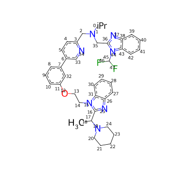 CC(C)N(Cc1ccc(-c2cccc(OCCn3c(C(C)N4CCCCC4)nc4ccccc43)c2)cn1)Cc1nc2ccccc2n1C(F)F